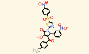 Cc1ccc(C(=O)C2=C(O)C(=O)N(c3ncc(S(=O)(=O)c4ccc([N+](=O)[O-])cc4)s3)C2c2cccc([N+](=O)[O-])c2)cc1